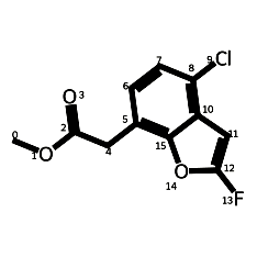 COC(=O)Cc1ccc(Cl)c2cc(F)oc12